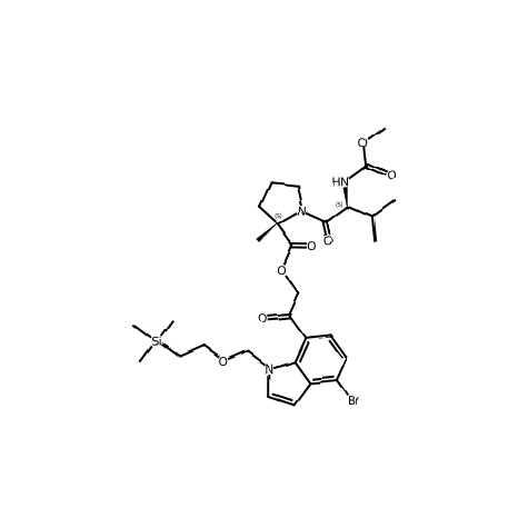 COC(=O)N[C@H](C(=O)N1CCC[C@@]1(C)C(=O)OCC(=O)c1ccc(Br)c2ccn(COCC[Si](C)(C)C)c12)C(C)C